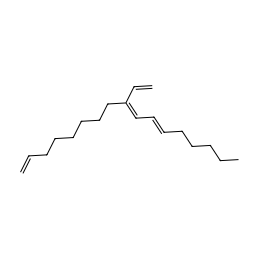 C=CCCCCCCC(C=C)=CC=CCCCCC